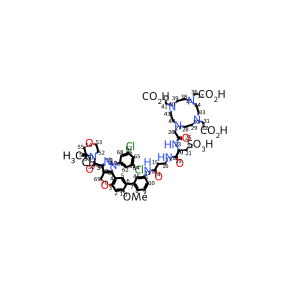 COc1cc2c(cc1-c1cccc(NC(=O)CCNC(=O)[C@H](CS(=O)(=O)O)NC(=O)CN3CCN(CC(=O)O)CCN(CC(=O)O)CCN(CC(=O)O)CC3)c1)-c1c(c(C(=O)N3CCOCC3(C)C)nn1-c1cc(Cl)cc(Cl)c1)CO2